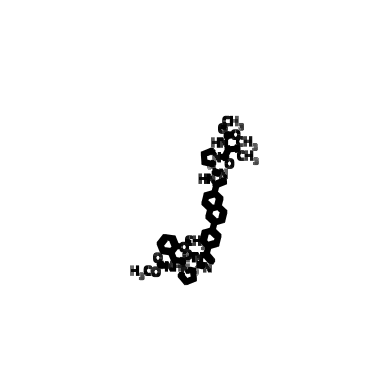 COC(=O)NC(C(=O)N1CCC[C@H]1c1ncc(-c2ccc3cc(-c4ccc(-c5cnc([C@@H]6CCCN6C(=O)[C@H](NC(=O)OC)c6ccccc6OC)[nH]5)cc4)ccc3c2)[nH]1)C(C)C